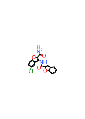 NC(=O)c1oc2ccc(Cl)cc2c1NC(=O)c1cc2ccccc2o1